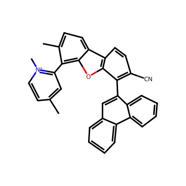 Cc1cc[n+](C)c(-c2c(C)ccc3c2oc2c(-c4cc5ccccc5c5ccccc45)c(C#N)ccc23)c1